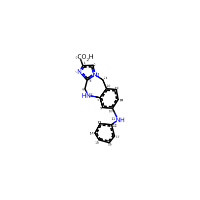 O=C(O)c1cn2c(n1)CNc1cc(Nc3ccccc3)ccc1C2